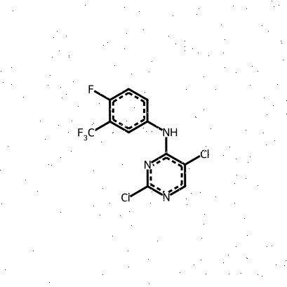 Fc1ccc(Nc2nc(Cl)ncc2Cl)cc1C(F)(F)F